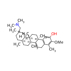 COc1c(O)cc2c(c1C)CC=C1[C@@]2(C)CC[C@@]2(C)[C@@H]3C[C@](C)(CN(C)C)CC[C@]3(C)CC[C@]12C